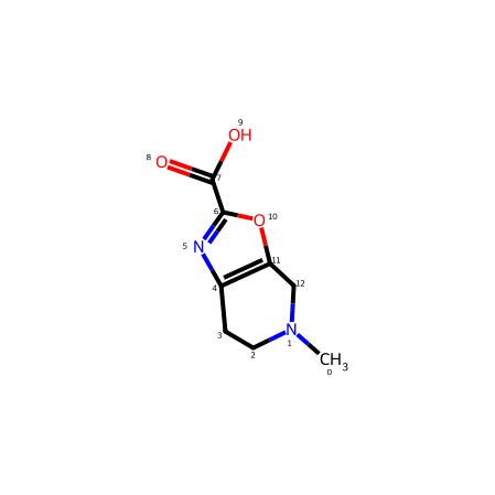 CN1CCc2nc(C(=O)O)oc2C1